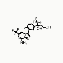 Cc1ccc(C(O)(CCO)C(F)(F)F)cc1-c1cnc2c(N)nc(C(F)(F)F)cn12